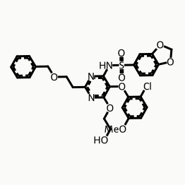 COc1ccc(Cl)c(Oc2c(NS(=O)(=O)c3ccc4c(c3)OCO4)nc(CCOCc3ccccc3)nc2OCCO)c1